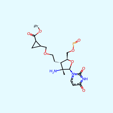 CC(C)OC(=O)C1CC1COCC[C@@H]1[C@@H](COP=O)O[C@@H](n2ccc(=O)[nH]c2=O)[C@]1(C)N